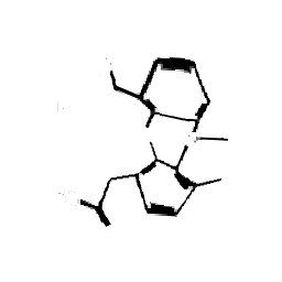 Cc1ccc(CC(=O)O)c2c1N(C)c1cccc(CN)c1S2.Cl